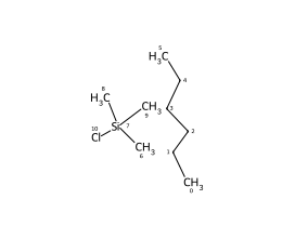 CCCCCC.C[Si](C)(C)Cl